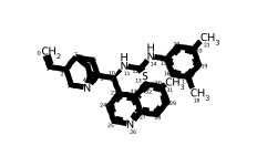 C=CC1CN2CCC1CC2[C@@H](NC(=S)Nc1cc(C)cc(C)c1)c1ccnc2ccc(C)cc12